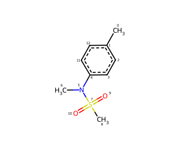 Cc1ccc(N(C)S(C)(=O)=O)cc1